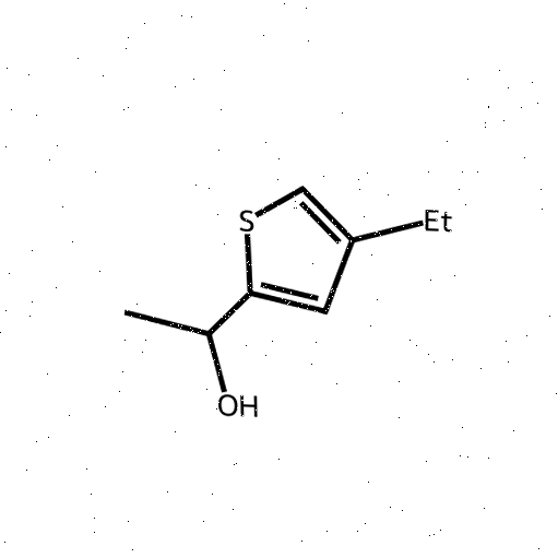 CCc1csc(C(C)O)c1